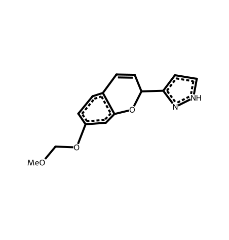 COCOc1ccc2c(c1)OC(c1cc[nH]n1)C=C2